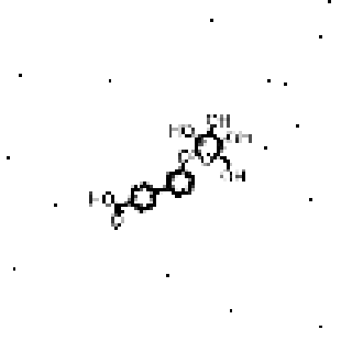 O=C(O)c1ccc(-c2cccc(O[C@H]3OC(CO)[C@@H](O)C(O)[C@H]3O)c2)cc1